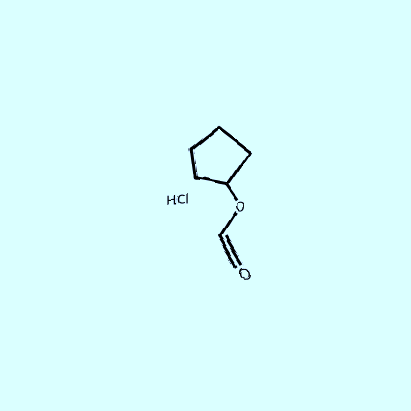 Cl.O=COC1CCCC1